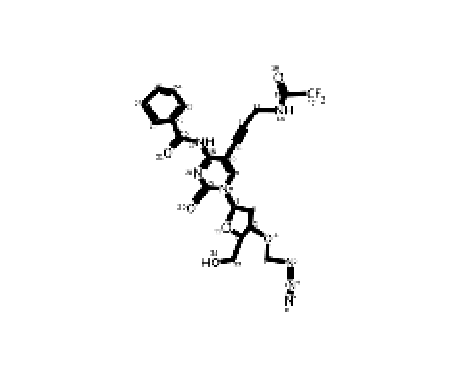 [N-]=[N+]=NCOC1CC(n2cc(C#CCNC(=O)C(F)(F)F)c(NC(=O)c3ccccc3)nc2=O)OC1CO